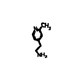 Cc1cc(CCN)ccn1